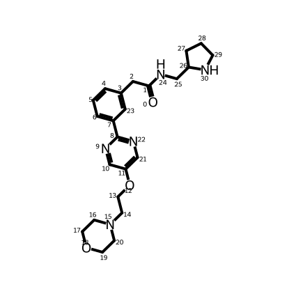 O=C(Cc1cccc(-c2ncc(OCCN3CCOCC3)cn2)c1)NCC1CCCN1